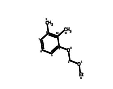 CCOCOc1cccc(C)c1C